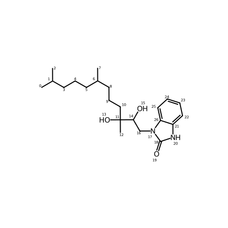 CC(C)CCCC(C)CCCC(C)(O)C(O)Cn1c(=O)[nH]c2ccccc21